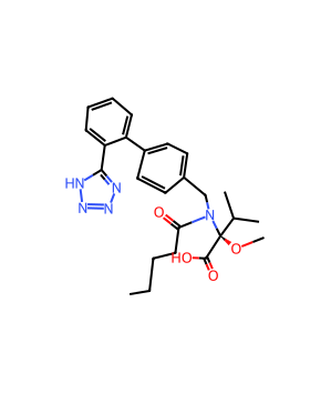 CCCCC(=O)N(Cc1ccc(-c2ccccc2-c2nnn[nH]2)cc1)[C@@](OC)(C(=O)O)C(C)C